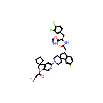 C=CC(=O)N1CC2(CCCC2)c2cc(N3CCC4(CC3)C[C@@H](CC(=O)N[C@H](Cc3ccc(F)c(F)c3)c3nnco3)c3ccc(F)cc34)ncc21